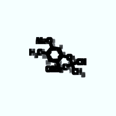 COc1cc(OC(C)(C)C#N)c(OC)cc1C